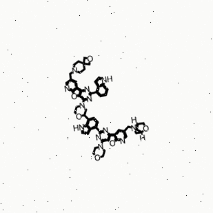 c1cc(-c2nc(N3CCOC(c4ccc(-c5nc(N6CCOCC6)c6oc7ncc(CN8C[C@@H]9C[C@H]8CO9)cc7c6n5)c5cc[nH]c45)C3)c3oc4ncc(CN5CCC6(CC5)COC6)cc4c3n2)c2cc[nH]c2c1